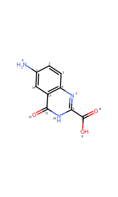 Nc1ccc2nc(C(=O)O)[nH]c(=O)c2c1